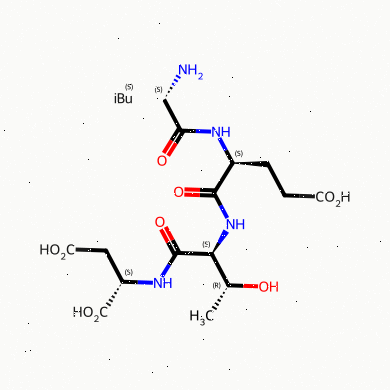 CC[C@H](C)[C@H](N)C(=O)N[C@@H](CCC(=O)O)C(=O)N[C@H](C(=O)N[C@@H](CC(=O)O)C(=O)O)[C@@H](C)O